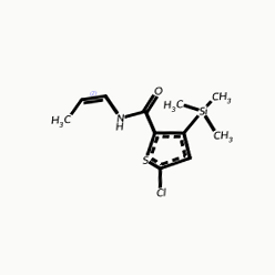 C/C=C\NC(=O)c1sc(Cl)cc1[Si](C)(C)C